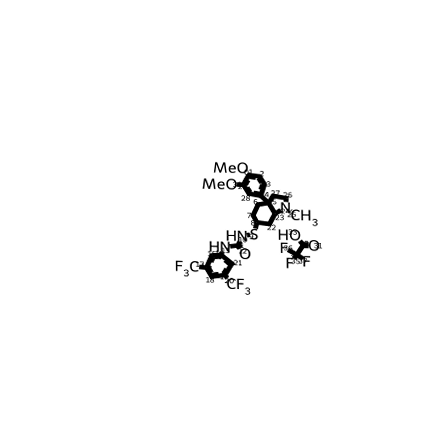 COc1ccc(C23CCC(SNC(=O)Nc4cc(C(F)(F)F)cc(C(F)(F)F)c4)CC2N(C)CC3)cc1OC.O=C(O)C(F)(F)F